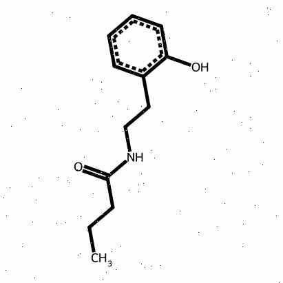 CCCC(=O)NCCc1ccccc1O